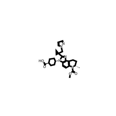 COC(=O)N1c2ccc3c(nc(C4(Cn5cccn5)CC4)n3[C@H]3CC[C@H](C(=O)O)CC3)c2CC[C@@H]1C